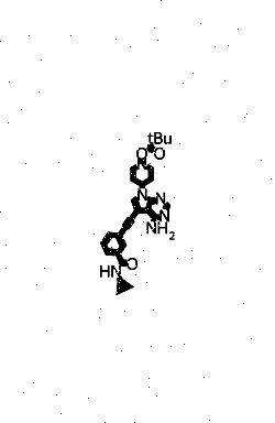 CC(C)(C)C(=O)ON1CCC(n2cc(C#Cc3cccc(C(=O)NC4CC4)c3)c3c(N)ncnc32)CC1